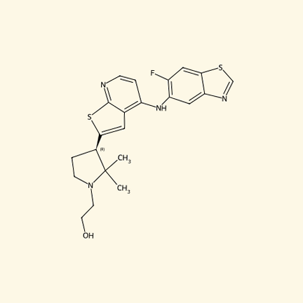 CC1(C)[C@H](c2cc3c(Nc4cc5ncsc5cc4F)ccnc3s2)CCN1CCO